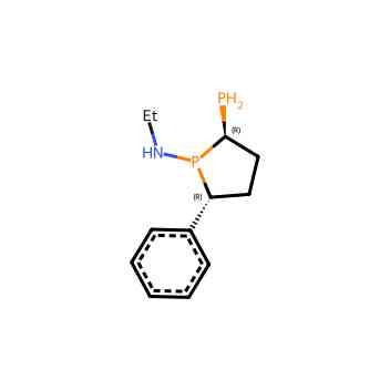 CCNP1[C@@H](c2ccccc2)CC[C@@H]1P